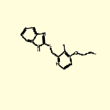 Cc1c(OCCF)ccnc1CSc1nc2ccccc2[nH]1